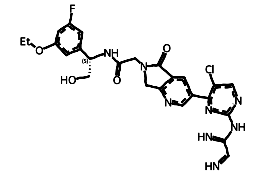 CCOc1cc(F)cc([C@@H](CO)NC(=O)CN2Cc3ncc(-c4nc(NC(=N)C=N)ncc4Cl)cc3C2=O)c1